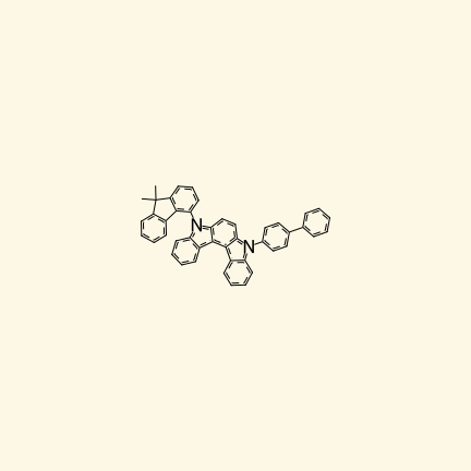 CC1(C)c2ccccc2-c2c(-n3c4ccccc4c4c5c6ccccc6n(-c6ccc(-c7ccccc7)cc6)c5ccc43)cccc21